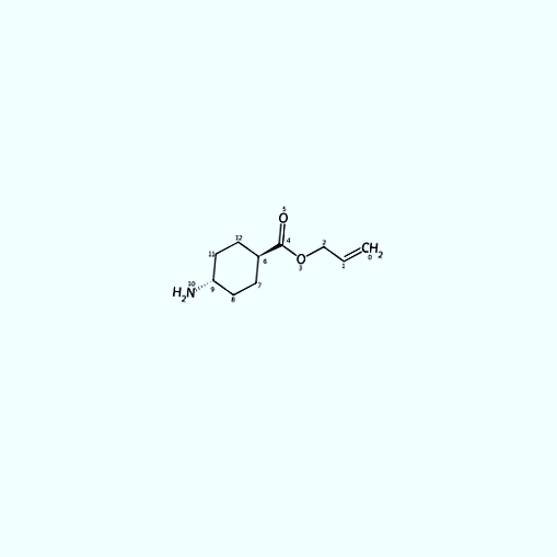 C=CCOC(=O)[C@H]1CC[C@H](N)CC1